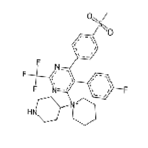 CS(=O)(=O)c1ccc(-c2nc(C(F)(F)F)nc([N+]3(C4CCNCC4)CCCCC3)c2-c2ccc(F)cc2)cc1